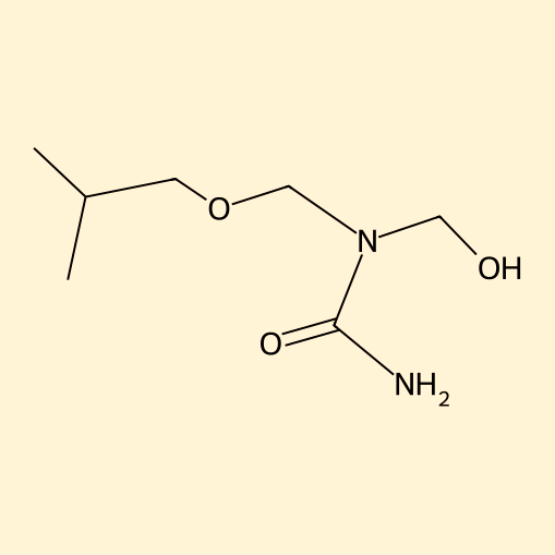 CC(C)COCN(CO)C(N)=O